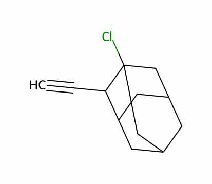 C#CC1C2CC3CC(C2)CC1(Cl)C3